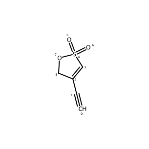 C#CC1=CS(=O)(=O)OC1